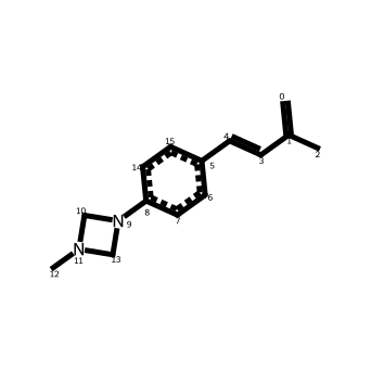 C=C(C)/C=C/c1ccc(N2CN(C)C2)cc1